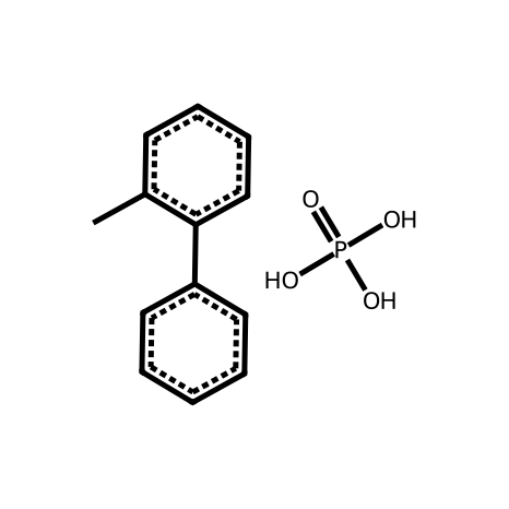 Cc1ccccc1-c1ccccc1.O=P(O)(O)O